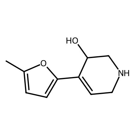 Cc1ccc(C2=CCNCC2O)o1